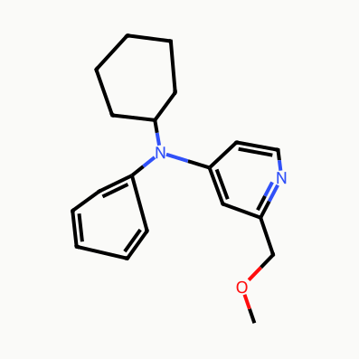 COCc1cc(N(c2ccccc2)C2CCCCC2)ccn1